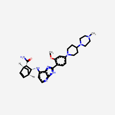 COc1cc(N2CCC(N3CCN(C)CC3)CC2)ccc1-c1nc2c(N[C@H]3[C@@H](C(N)=O)[C@@H]4C=C[C@H]3C4)ccnc2[nH]1